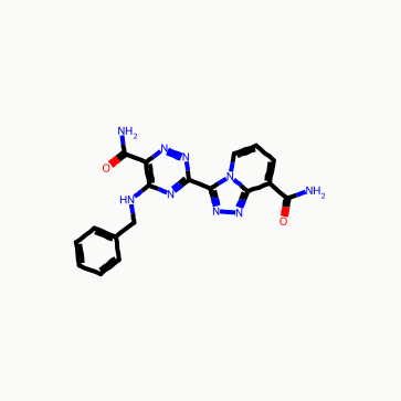 NC(=O)c1nnc(-c2nnc3c(C(N)=O)cccn23)nc1NCc1ccccc1